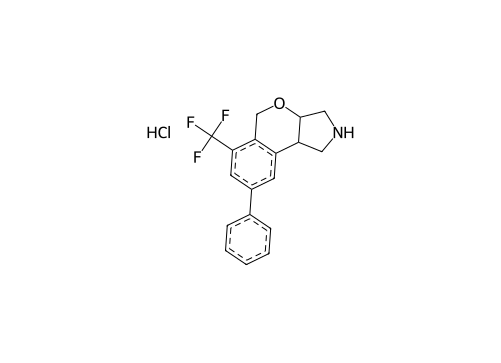 Cl.FC(F)(F)c1cc(-c2ccccc2)cc2c1COC1CNCC21